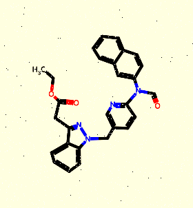 CCOC(=O)Cc1nn(Cc2ccc(N(C=O)c3ccc4ccccc4c3)nc2)c2ccccc12